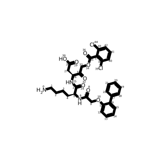 NCCCC[C@H](NC(=O)COc1ccccc1-c1ccccc1)C(=O)N[C@@H](CC(=O)O)C(=O)COC(=O)c1c(Cl)cccc1Cl